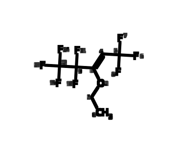 CCOC(=CC(F)(F)F)C(F)(F)C(F)(F)F